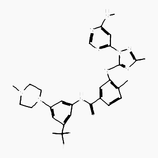 CNc1cc(-n2nc(C)nc2Nc2cc(C(=O)Nc3cc(N4CCN(C)CC4)cc(C(F)(F)F)c3)ccc2C)ncn1